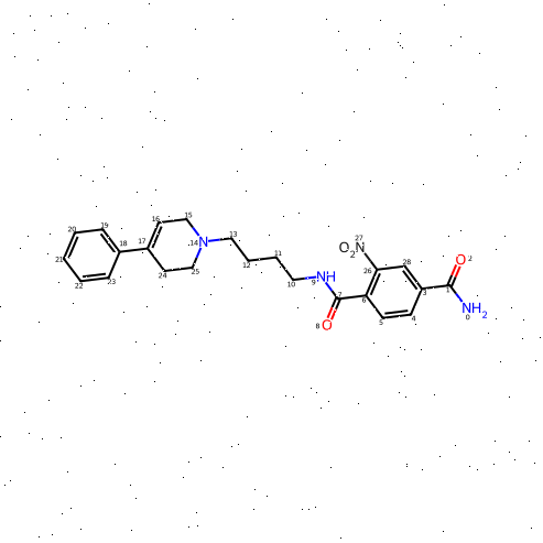 NC(=O)c1ccc(C(=O)NCCCCN2CC=C(c3ccccc3)CC2)c([N+](=O)[O-])c1